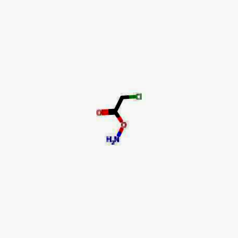 NOC(=O)CCl